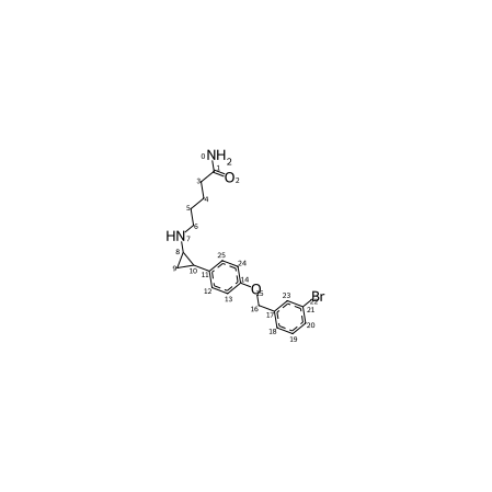 NC(=O)CCCCNC1CC1c1ccc(OCc2cccc(Br)c2)cc1